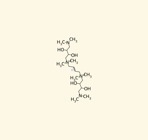 CN(C)CC(O)C(O)C[N+](C)(C)C/C=C/C[N+](C)(C)CC(O)C(O)CN(C)C